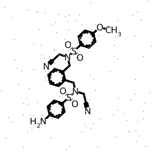 COc1ccc(S(=O)(=O)N(CC#N)Cc2ccccc2CN(CC#N)S(=O)(=O)c2ccc(N)cc2)cc1